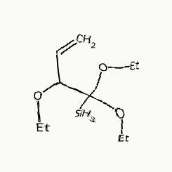 C=CC(OCC)C([SiH3])(OCC)OCC